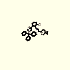 O=C(/C=C/c1c(Cl)cccc1-c1cn(C(c2ccccc2)(c2ccccc2)c2ccccc2)cn1)C1CCC2(CC1)CC2